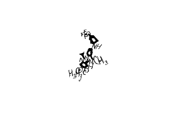 COc1cc2nc(C3CC3)nc(N[C@H](C)c3cccc(Nc4ccc(OC(F)(F)F)cc4)c3)c2cc1OC